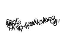 CCN(C)S(=O)(=O)Nc1ccc(F)c(C(=O)c2c[nH]c3ncc(-c4cnc(N5CCN(C(=O)CN6CCN(c7ccc(OC8CCC(=O)NC8=O)cn7)CC6)CC5)nc4)cc23)c1F